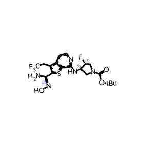 CC(C)(C)OC(=O)N1C[C@H](F)[C@H](Nc2nccc3c(CC(F)(F)F)c(/C(N)=N/O)sc23)C1